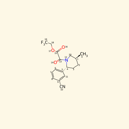 C[C@H]1CC[C@H](c2cccc(C#N)c2)N(C(=O)C(=O)OCC(F)(F)F)C1